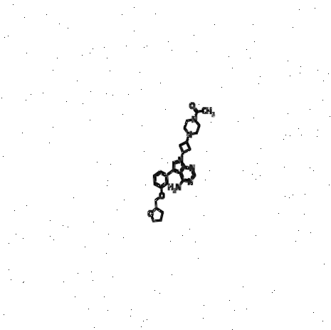 CC(=O)N1CCN(C2CC(n3cc(-c4cccc(OCC5CCCO5)c4)c4c(N)ncnc43)C2)CC1